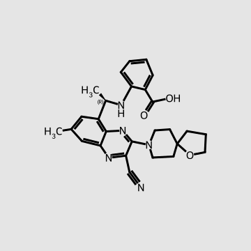 Cc1cc([C@@H](C)Nc2ccccc2C(=O)O)c2nc(N3CCC4(CCCO4)CC3)c(C#N)nc2c1